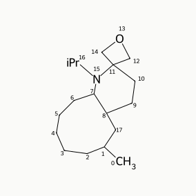 CC1CCCCCC2C(CCC3(COC3)N2C(C)C)C1